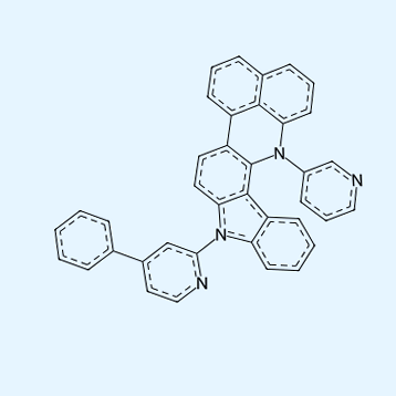 c1ccc(-c2ccnc(-n3c4ccccc4c4c5c(ccc43)-c3cccc4cccc(c34)N5c3cccnc3)c2)cc1